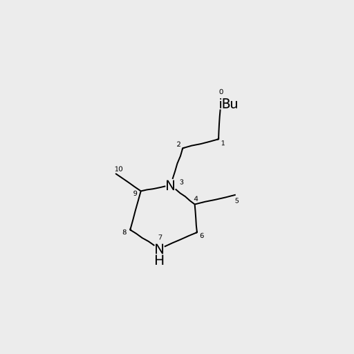 CCC(C)CCN1C(C)CNCC1C